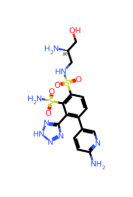 Nc1ccc(-c2ccc(S(=O)(=O)NC[C@@H](N)CO)c(S(N)(=O)=O)c2-c2nn[nH]n2)cn1